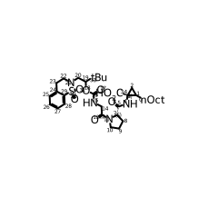 CCCCCCCCC1C[C@]1(NC(=O)[C@@H]1CCCN1C(=O)CNC(=O)OC(CN1CCc2ccccc2S1(=O)=O)C(C)(C)C)C(=O)O